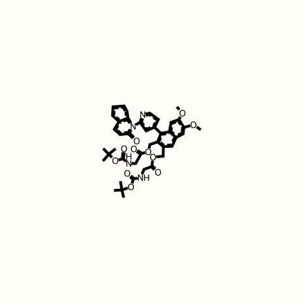 COc1cc2cc(COC(=O)CNC(=O)OC(C)(C)C)c(COC(=O)CNC(=O)OC(C)(C)C)c(-c3ccnc(-n4c(=O)ccc5ccccc54)c3)c2cc1OC